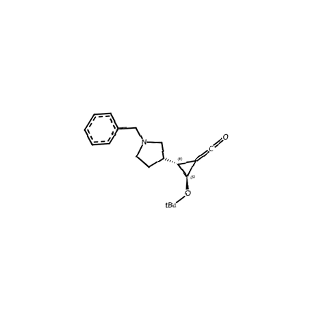 CC(C)(C)O[C@@H]1C(=C=O)[C@H]1C1CCN(Cc2ccccc2)C1